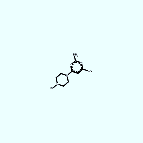 CCCc1cc(N2CCN(CC)CC2)nc(N)n1